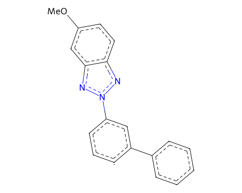 COc1ccc2nn(-c3cc[c]c(-c4ccccc4)c3)nc2c1